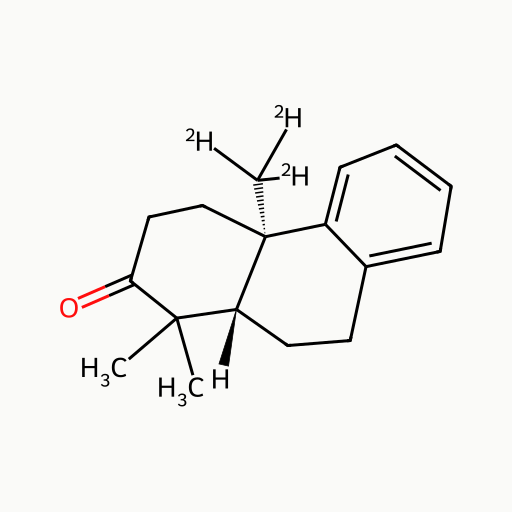 [2H]C([2H])([2H])[C@@]12CCC(=O)C(C)(C)[C@H]1CCc1ccccc12